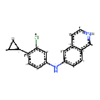 Clc1cc(Nc2ccc3cnccc3c2)ccc1C1CC1